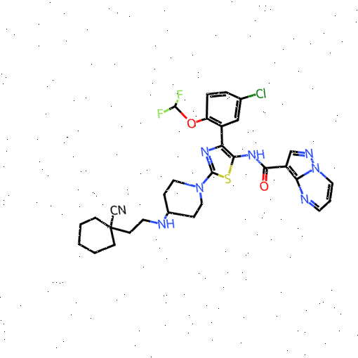 N#CC1(CCNC2CCN(c3nc(-c4cc(Cl)ccc4OC(F)F)c(NC(=O)c4cnn5cccnc45)s3)CC2)CCCCC1